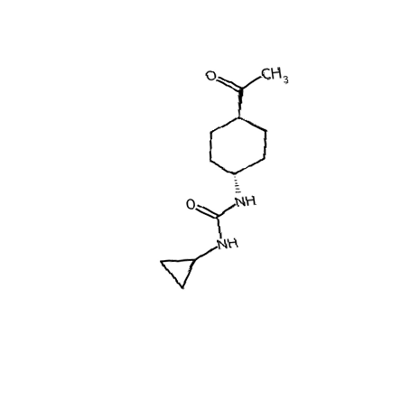 CC(=O)[C@H]1CC[C@H](NC(=O)NC2CC2)CC1